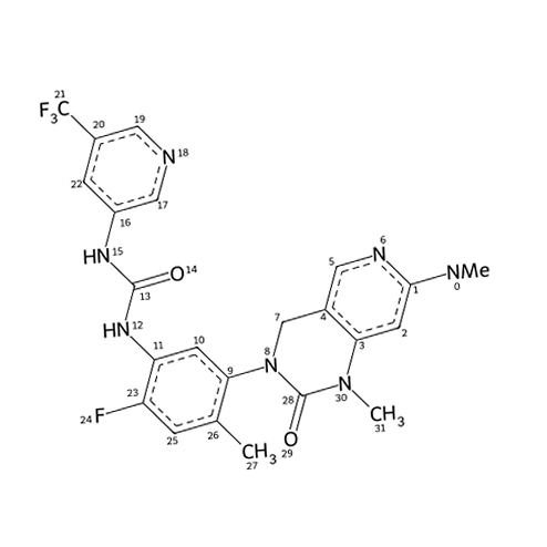 CNc1cc2c(cn1)CN(c1cc(NC(=O)Nc3cncc(C(F)(F)F)c3)c(F)cc1C)C(=O)N2C